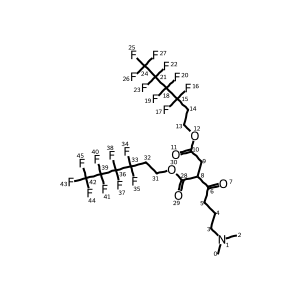 CN(C)CCCC(=O)C(CC(=O)OCCC(F)(F)C(F)(F)C(F)(F)C(F)(F)F)C(=O)OCCC(F)(F)C(F)(F)C(F)(F)C(F)(F)F